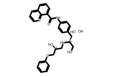 Cl.Cl.O=C(Nc1ccc(C[C@@H](CO)NC[C@H](O)COc2ccccc2)cc1)c1cccc2cccnc12